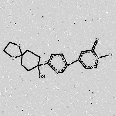 CCn1ccc(-c2ccc(C3(O)CCC4(CC3)OCCO4)nc2)cc1=O